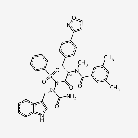 Cc1cc(C)cc(C(=O)N(C)[C@@H](Cc2ccc(-c3ccon3)cc2)C(=O)N([C@@H](Cc2c[nH]c3ccccc23)C(N)=O)S(=O)(=O)c2ccccc2)c1